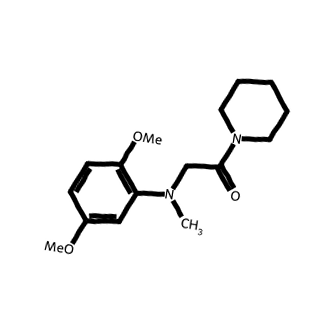 COc1ccc(OC)c(N(C)CC(=O)N2CCCCC2)c1